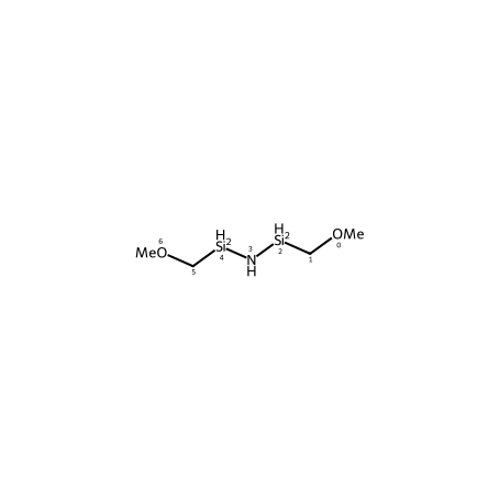 COC[SiH2]N[SiH2]COC